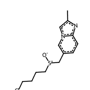 Cc1cn2cc(C[S+]([O-])CCCCCl)ccc2n1